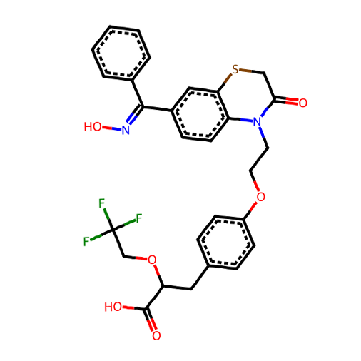 O=C(O)C(Cc1ccc(OCCN2C(=O)CSc3cc(C(=NO)c4ccccc4)ccc32)cc1)OCC(F)(F)F